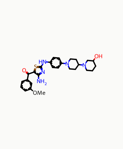 COc1cccc(C(=O)c2sc(Nc3ccc(N4CCC(N5CCCC(O)C5)CC4)cc3)nc2N)c1